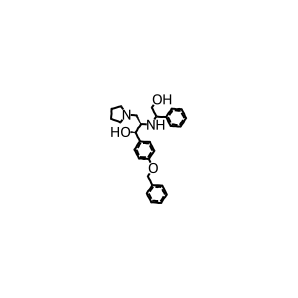 OCC(N[C@H](CN1CCCC1)[C@H](O)c1ccc(OCc2ccccc2)cc1)c1ccccc1